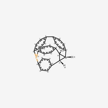 c1cc2ccc1-c1ccc(cc1)P1c3ccc(cc3)[C@@H]3[C@H]2[C@@H]3c2ccc1cc2